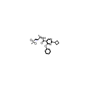 C[C@H](/C=C/S(C)(=O)=O)NC(=O)c1cnc(C2CCC2)nc1Oc1ccccc1